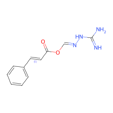 N=C(N)NN=COC(=O)/C=C/c1ccccc1